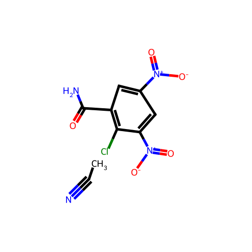 CC#N.NC(=O)c1cc([N+](=O)[O-])cc([N+](=O)[O-])c1Cl